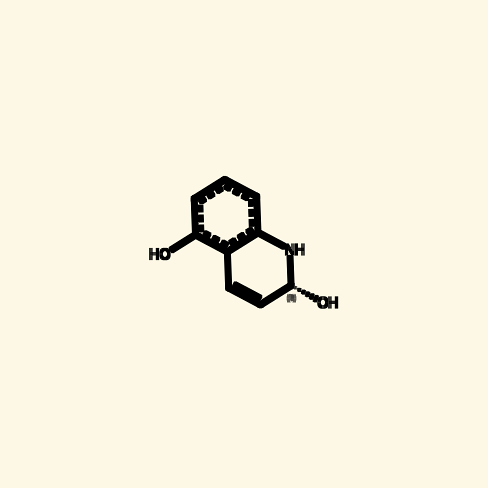 Oc1cccc2c1C=C[C@@H](O)N2